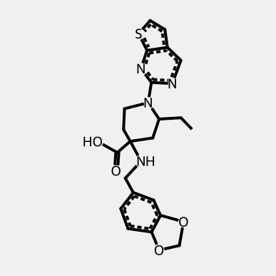 CCC1CC(NCc2ccc3c(c2)OCO3)(C(=O)O)CCN1c1ncc2ccsc2n1